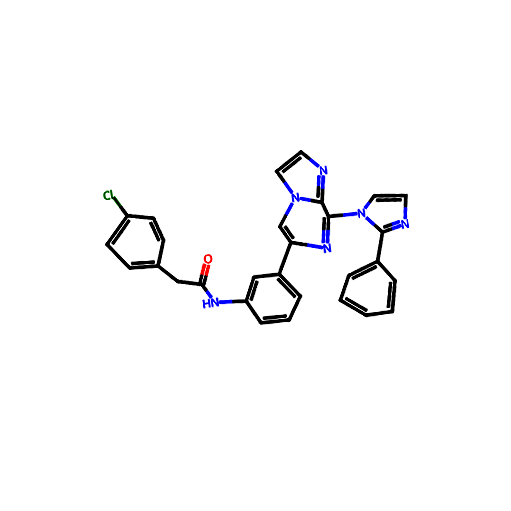 O=C(Cc1ccc(Cl)cc1)Nc1cccc(-c2cn3ccnc3c(-n3ccnc3-c3ccccc3)n2)c1